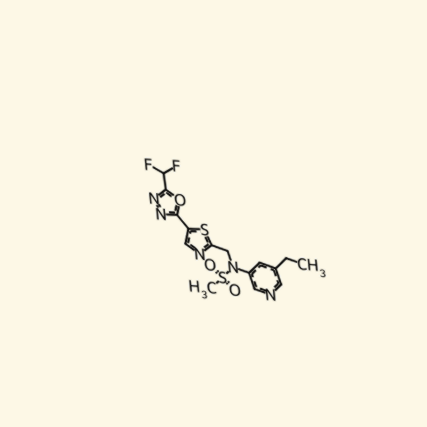 CCc1cncc(N(Cc2ncc(-c3nnc(C(F)F)o3)s2)S(C)(=O)=O)c1